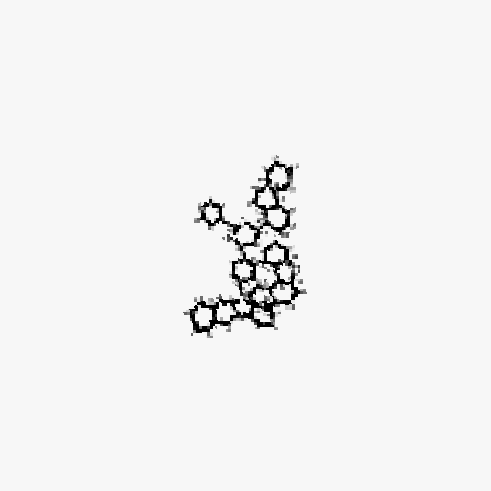 c1ccc(-c2nc(-c3ccc(-n4c5ccccc5c5cc6ccccc6cc54)cc3-c3cccc4oc5ccc6ccccc6c5c34)nc(-c3cccc4c3ccc3ccccc34)n2)cc1